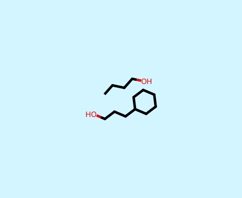 CCCCO.OCCCC1CCCCC1